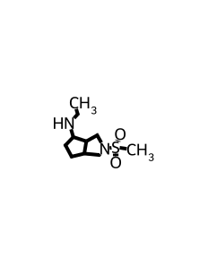 CCNC1CCC2CN(S(C)(=O)=O)CC21